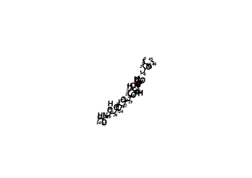 C=C1C[C@H](CC[C@]23CC4OC5(O2)C2C(O[C@H]6CC[C@H](CC(=O)C[C@@H]7C[C@@H](C[C@H](O)CNC(=O)CC)O[C@H]7C)O[C@@H]6[C@@H]2O3)[C@H]45)O[C@H]1CC